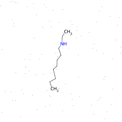 [CH2]CCCCCCCNCC